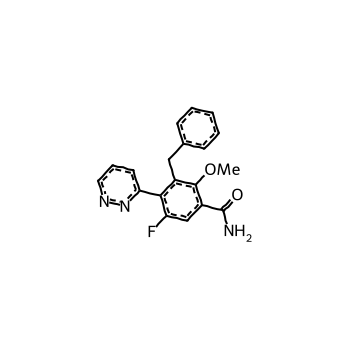 COc1c(C(N)=O)cc(F)c(-c2cccnn2)c1Cc1ccccc1